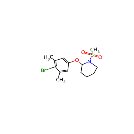 Cc1cc(OC2CCCCN2S(C)(=O)=O)cc(C)c1Br